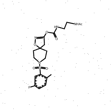 CC(=O)NCCNC(=O)OC1=NOC2(CCN(S(=O)(=O)c3cc(F)ccc3C)CC2)C1